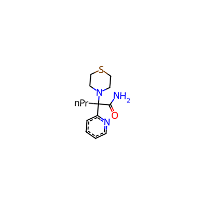 CCCC(C(N)=O)(c1ccccn1)N1CCSCC1